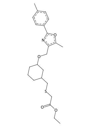 CCOC(=O)CSCC1CCCC(OCc2nc(-c3ccc(C)cc3)oc2C)C1